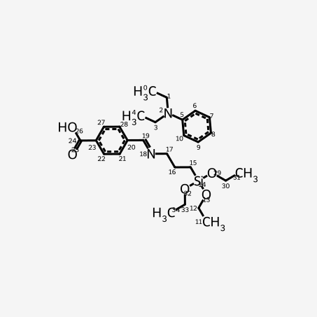 CCN(CC)c1ccccc1.CCO[Si](CCCN=Cc1ccc(C(=O)O)cc1)(OCC)OCC